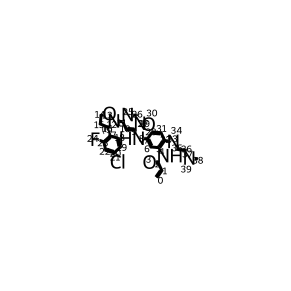 C=CC(=O)Nc1cc(Nc2cc(N3OCC[C@@H]3c3ccc(Cl)cc3F)ncn2)c(OC)cc1N(C)CCN(C)C